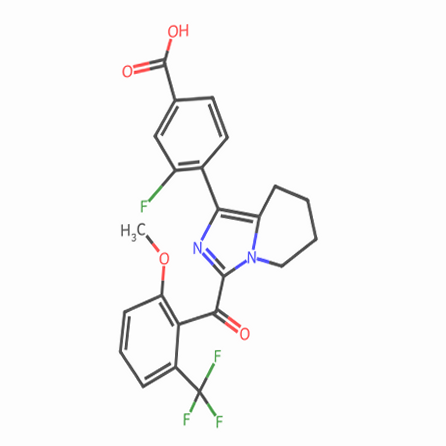 COc1cccc(C(F)(F)F)c1C(=O)c1nc(-c2ccc(C(=O)O)cc2F)c2n1CCCC2